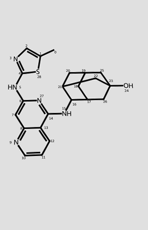 Cc1cnc(Nc2cc3ncccc3c(NC3C4CC5CC3CC(O)(C5)C4)n2)s1